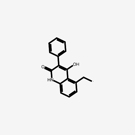 [CH2]Cc1cccc2[nH]c(=O)c(-c3ccccc3)c(O)c12